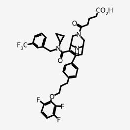 O=C(O)CCCC(=O)N1CC2CC(c3ccc(CCCOc4c(F)ccc(F)c4F)cc3)=C(C(=O)N(Cc3cccc(C(F)(F)F)c3)C3CC3)C(C1)N2